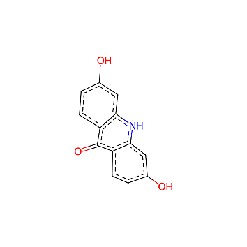 O=c1c2ccc(O)cc2[nH]c2cc(O)ccc12